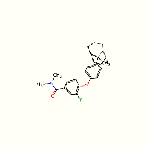 CN(C)C(=O)c1ccc(Oc2ccc(C3(C)C4CCCC3CCC4)cc2)c(F)c1